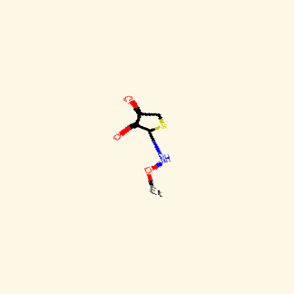 CCONC1SCC(=O)C1=O